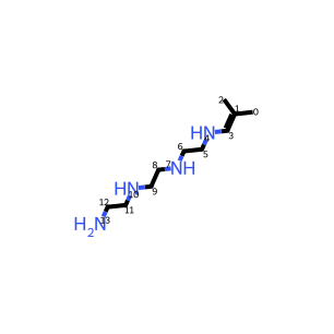 CC(C)=CNCCNCCNCCN